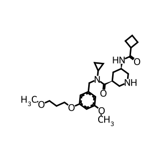 COCCCOc1cc(CN(C(=O)[C@@H]2CNC[C@H](NC(=O)C3CCC3)C2)C2CC2)cc(OC)c1